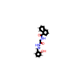 O=C(CNC(=O)c1cccc2ccccc12)N/N=C/c1ccccc1O